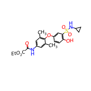 CCOC(=O)C(=O)Nc1cc(C)c(Oc2ccc(O)c(S(=O)(=O)NC3CC3)c2)c(C)c1